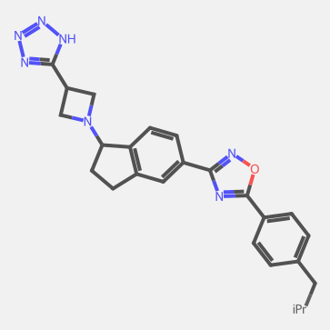 CC(C)Cc1ccc(-c2nc(-c3ccc4c(c3)CCC4N3CC(c4nnn[nH]4)C3)no2)cc1